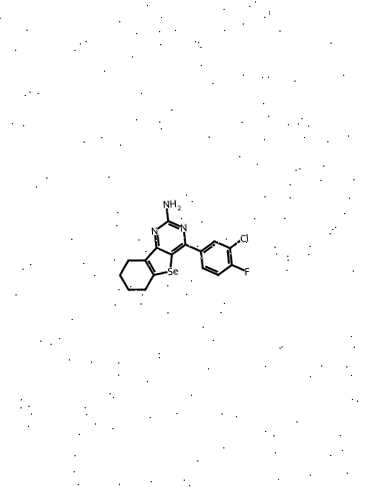 Nc1nc(-c2ccc(F)c(Cl)c2)c2[se]c3c(c2n1)CCCC3